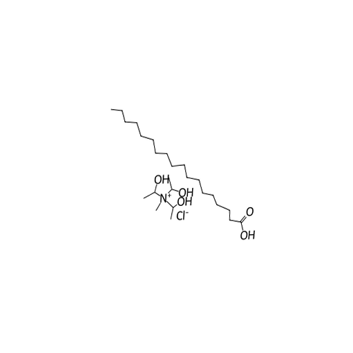 CC(O)[N+](C)(C(C)O)C(C)O.CCCCCCCCCCCCCCCCCC(=O)O.[Cl-]